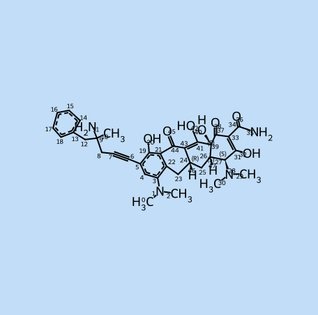 CN(C)c1cc(C#CCC(C)(N)Cc2ccccc2)c(O)c2c1C[C@H]1C[C@H]3[C@H](N(C)C)C(O)=C(C(N)=O)C(=O)[C@@]3(O)C(O)=C1C2=O